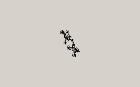 C=CC(=O)OCC(COCC(COCCC(C)(C)OCCC(C)(C)OCC(COCC(COC(=O)C=C)COC(=O)C=C)(COC(=O)C=C)COC(=O)C=C)(COC(=O)C=C)COC(=O)C=C)COC(=O)C=C